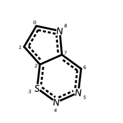 c1cc2snncc-2n1